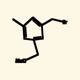 COCc1cc(C)cc(CBr)c1